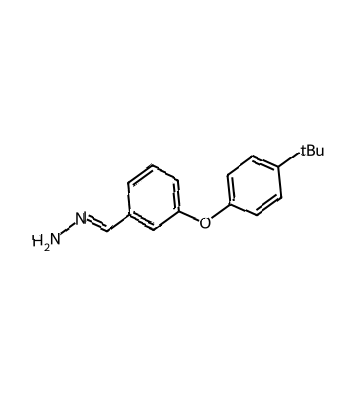 CC(C)(C)c1ccc(Oc2cccc(C=NN)c2)cc1